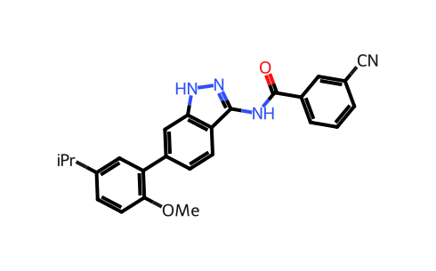 COc1ccc(C(C)C)cc1-c1ccc2c(NC(=O)c3cccc(C#N)c3)n[nH]c2c1